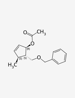 CC(=O)O[C@@H]1C=C[C@H](C)[C@H]1COCc1ccccc1